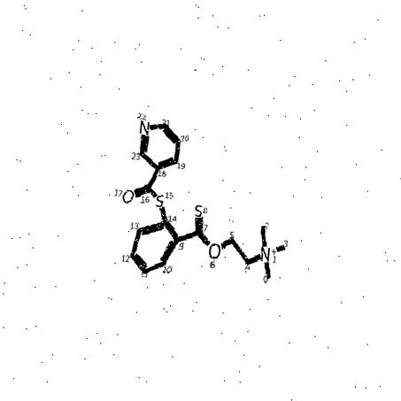 C[N+](C)(C)CCOC(=S)c1ccccc1SC(=O)c1cccnc1